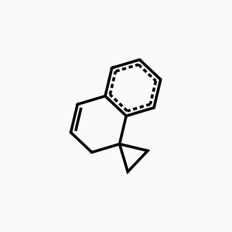 C1=Cc2ccccc2C2(C1)CC2